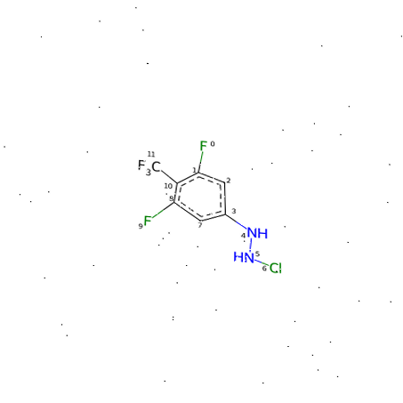 Fc1cc(NNCl)cc(F)c1C(F)(F)F